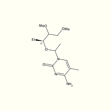 CC[C@H](OC(C)n1cc(C)c(N)nc1=O)C(COC)OC